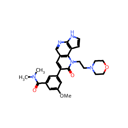 COc1cc(C(=O)N(C)C)cc(-c2cc3cnc4[nH]ccc4c3n(CCN3CCOCC3)c2=O)c1